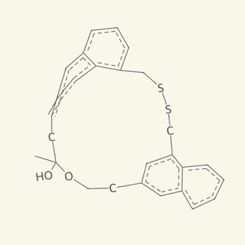 CC1(O)Cc2ccc3c(cccc3c2)CSSCc2cc(cc3ccccc23)CCO1